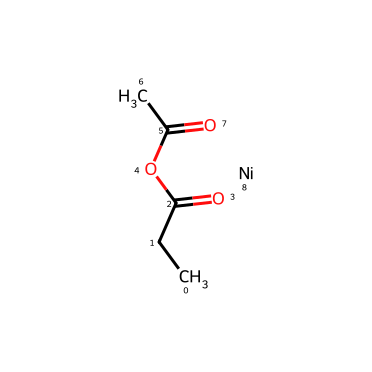 CCC(=O)OC(C)=O.[Ni]